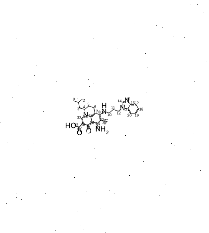 CC(C)C[C@H]1CCc2c(NCCCn3cnc4ccccc43)c(F)c(N)c3c(=O)c(C(=O)O)cn1c23